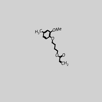 C=CC(=O)OCCCCOc1ccc(C)cc1OC